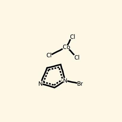 Brn1ccnc1.[Cl][Co]([Cl])[Cl]